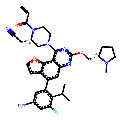 C=CC(=O)N1CCN(c2nc(OC[C@@H]3CCCN3C)nc3cc(-c4cc(N)cc(F)c4C(C)C)c4ccoc4c23)C[C@@H]1CC#N